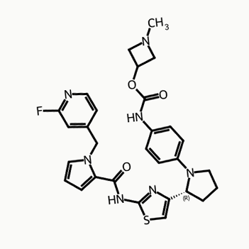 CN1CC(OC(=O)Nc2ccc(N3CCC[C@@H]3c3csc(NC(=O)c4cccn4Cc4ccnc(F)c4)n3)cc2)C1